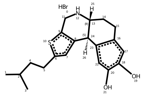 Br.CC(C)CCc1cc2c(s1)CN[C@@H]1CCc3cc(O)c(O)cc3[C@@H]21